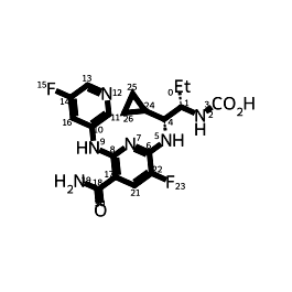 CC[C@H](NC(=O)O)[C@H](Nc1nc(Nc2cncc(F)c2)c(C(N)=O)cc1F)C1CC1